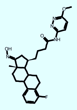 COc1ccc(NC(=O)CCC[C@@H]2C/C(=N\O)[C@@]3(C)CCC4c5cccc(F)c5CCC4C23)nn1